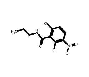 CCCNC(=O)c1c(Cl)ccc([N+](=O)[O-])c1Cl